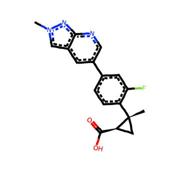 Cn1cc2cc(-c3ccc([C@]4(C)C[C@H]4C(=O)O)c(F)c3)cnc2n1